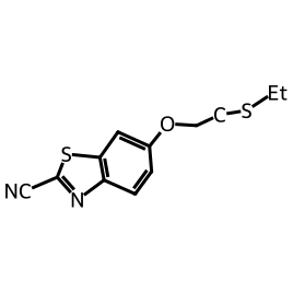 CCSCCOc1ccc2nc(C#N)sc2c1